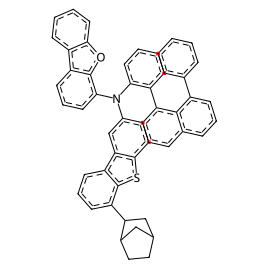 c1ccc(-c2cccc3cccc(-c4ccccc4N(c4ccc5sc6c(C7CC8CCC7C8)cccc6c5c4)c4cccc5c4oc4ccccc45)c23)cc1